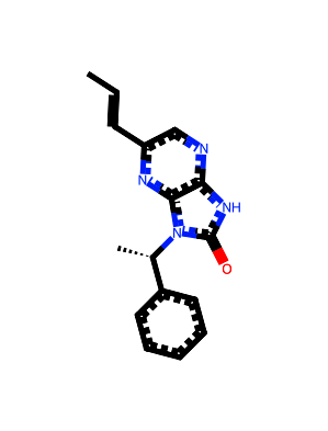 CC=Cc1cnc2[nH]c(=O)n([C@@H](C)c3ccccc3)c2n1